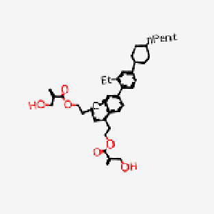 C=C(CO)C(=O)OCCc1cc(CCOC(=O)C(=C)CO)c2ccc(-c3ccc(C4CCC(CCCCC)CC4)cc3CC)cc2c1